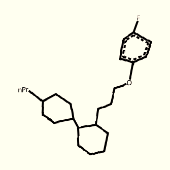 CCCC1CCC(C2CCCCC2CCCOc2ccc(F)cc2)CC1